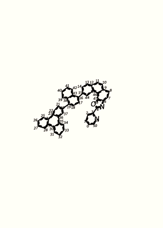 c1ccc(-c2nc3ccc4ccc5ccc(-c6ccc(-c7ccc8c9ccccc9c9ccccc9c8c7)c7ccccc67)cc5c4c3o2)nc1